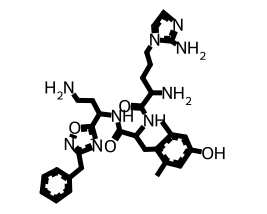 Cc1cc(O)cc(C)c1CC(NC(=O)C(N)CCCn1ccnc1N)C(=O)NC(CCN)c1nc(Cc2ccccc2)no1